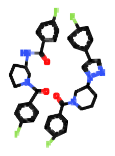 O=C(NC1CCCN(C(=O)c2ccc(F)cc2)C1)c1ccc(F)cc1.O=C(c1ccc(F)cc1)N1CCC[C@H](n2cc(-c3ccc(F)cc3)cn2)C1